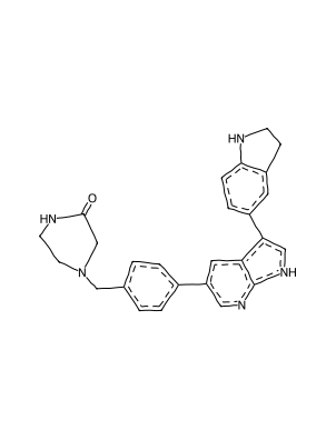 O=C1CN(Cc2ccc(-c3cnc4[nH]cc(-c5ccc6c(c5)CCN6)c4c3)cc2)CCN1